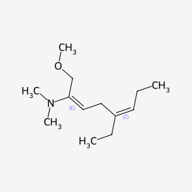 CC/C=C(/CC)C/C=C(\COC)N(C)C